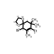 CCC1=C(C)C(Br)C2(CC1(C)C)OCCO2